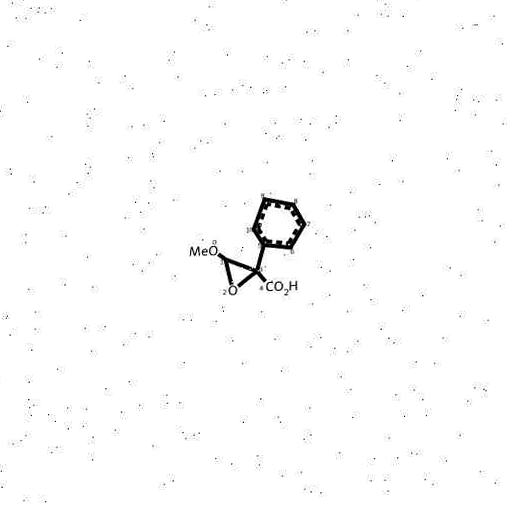 COC1OC1(C(=O)O)c1ccccc1